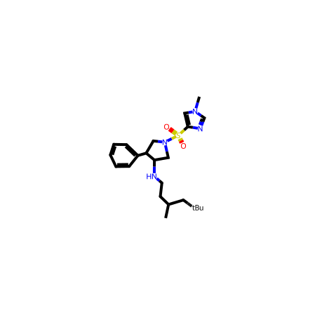 CC(CCNC1CN(S(=O)(=O)c2cn(C)cn2)CC1c1ccccc1)CC(C)(C)C